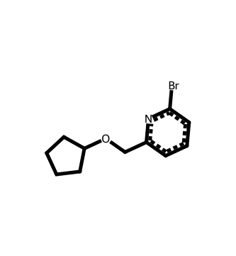 Brc1cccc(COC2CCCC2)n1